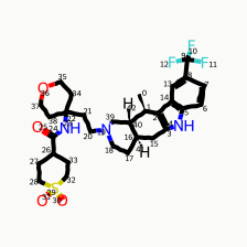 C[C@H]1c2c([nH]c3ccc(C(F)(F)F)cc23)C[C@H]2CCN(CCC3(NC(=O)C4CCS(=O)(=O)CC4)CCOCC3)C[C@@H]21